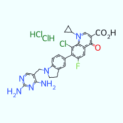 Cl.Cl.Nc1ncc(CN2CCc3cc(-c4c(F)cc5c(=O)c(C(=O)O)cn(C6CC6)c5c4Cl)ccc32)c(N)n1